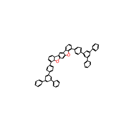 C1=CC2c3cc4c(cc3OC2C(c2ccc(-c3cc(-c5ccccc5)cc(-c5ccccc5)c3)cc2)=C1)oc1c(-c2ccc(-c3cc(-c5ccccc5)cc(-c5ccccc5)c3)cc2)cccc14